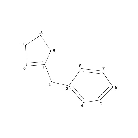 C1=C(Cc2ccccc2)CCC1